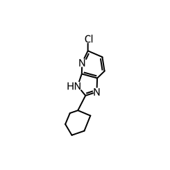 Clc1ccc2nc(C3CCCCC3)[nH]c2n1